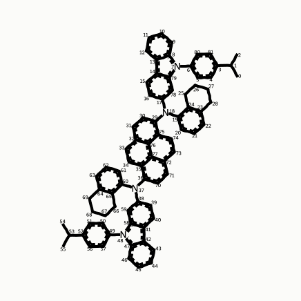 CC(C)c1ccc(-n2c3ccccc3c3ccc(N(c4cccc5c4CCCC5)c4ccc5ccc6c(N(c7ccc8c9ccccc9n(-c9ccc(C(C)C)cc9)c8c7)c7cccc8c7CCCC8)ccc7ccc4c5c76)cc32)cc1